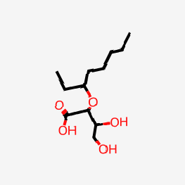 CCCCCC(CC)OC(C(=O)O)C(O)CO